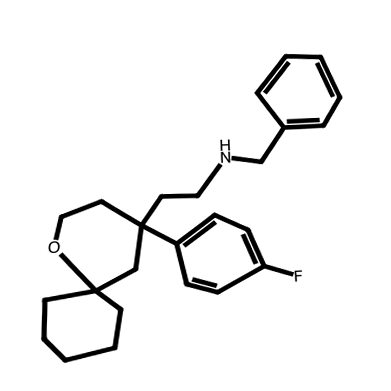 Fc1ccc(C2(CCNCc3ccccc3)CCOC3(CCCCC3)C2)cc1